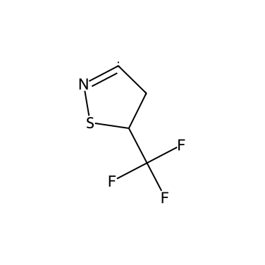 FC(F)(F)C1C[C]=NS1